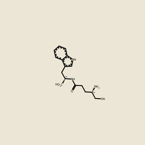 N[C@@H](CO)CCC(=O)N[C@H](Cc1c[nH]c2ccccc12)C(=O)O